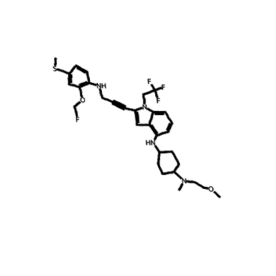 COCCN(C)C1CCC(Nc2cccc3c2cc(C#CCNc2ccc(SC)cc2OCF)n3CC(F)(F)F)CC1